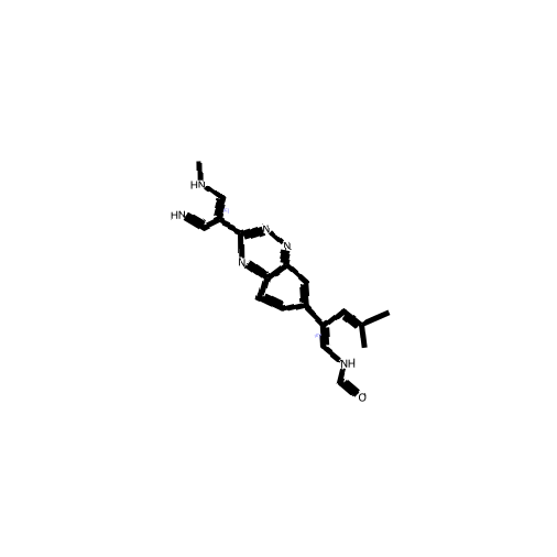 CN/C=C(\C=N)c1nnc2cc(/C(C=C(C)C)=C/NC=O)ccc2n1